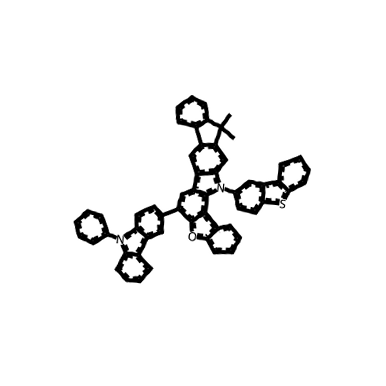 CC1(C)c2ccccc2-c2cc3c4cc(-c5ccc6c(c5)c5ccccc5n6-c5ccccc5)c5oc6ccccc6c5c4n(-c4ccc5sc6ccccc6c5c4)c3cc21